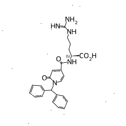 N=C(N)NCCC[C@H](NC(=O)c1ccn(C(c2ccccc2)c2ccccc2)c(=O)c1)C(=O)O